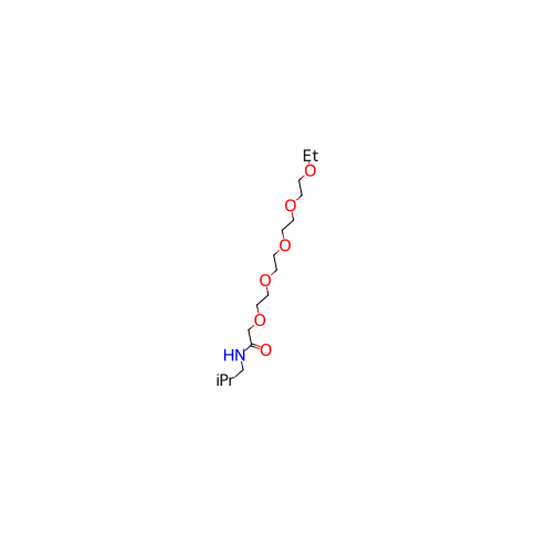 CCOCCOCCOCCOCCOCC(=O)NCC(C)C